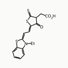 CCN1C(=CC=C2SC(=S)C(CC(=O)O)C2=O)Sc2ccccc21